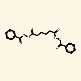 O=C(CCCCC(=O)OOC(=O)c1ccccc1)OOC(=O)c1ccccc1